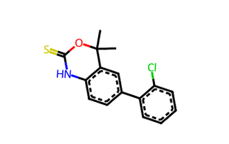 CC1(C)OC(=S)Nc2ccc(-c3ccccc3Cl)cc21